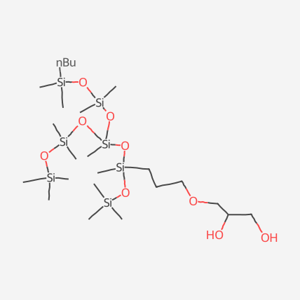 CCCC[Si](C)(C)O[Si](C)(C)O[Si](C)(O[Si](C)(C)O[Si](C)(C)C)O[Si](C)(CCCOCC(O)CO)O[Si](C)(C)C